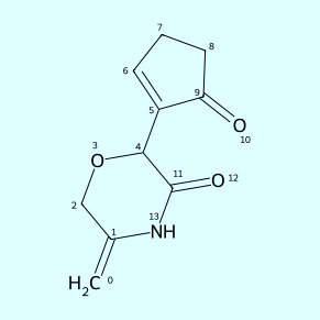 C=C1COC(C2=CCCC2=O)C(=O)N1